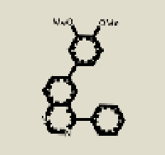 COc1ccc(-c2ccc3ncnc(-c4ccccc4)c3c2)cc1OC